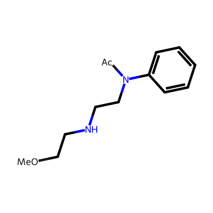 COCCNCCN(C(C)=O)c1ccccc1